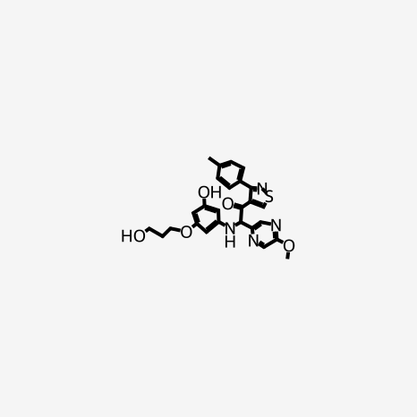 COc1cnc(C(Nc2cc(O)cc(OCCCO)c2)C(=O)c2csnc2-c2ccc(C)cc2)cn1